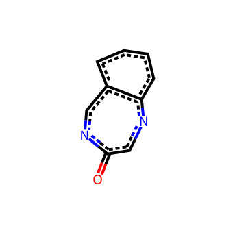 O=c1cnc2ccccc2cn1